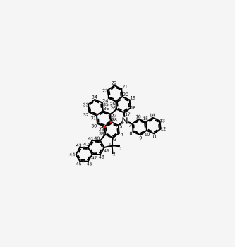 CC1(C)c2cc(N(c3ccc4ccccc4c3)c3ccc4ccccc4c3-c3cccc4ccccc34)ccc2-c2cc3ccccc3cc21